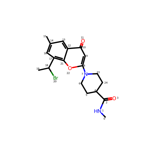 CNC(=O)C1CCN(c2cc(=O)c3cc(C)cc(C(C)Br)c3o2)CC1